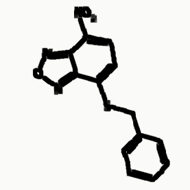 O=[N+]([O-])c1ccc(SCc2ccccc2)c2nonc12